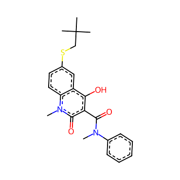 CN(C(=O)c1c(O)c2cc(SCC(C)(C)C)ccc2n(C)c1=O)c1ccccc1